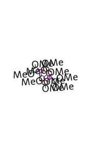 COc1cc(OC)cc(P(c2cc(OC)cc(OC)c2)c2cccc(OC)c2-c2c(OC)cccc2P(c2cc(OC)cc(OC)c2)c2cc(OC)cc(OC)c2)c1